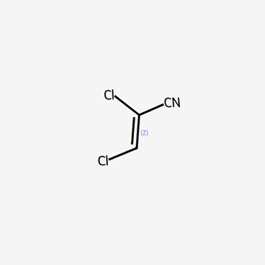 N#C/C(Cl)=C/Cl